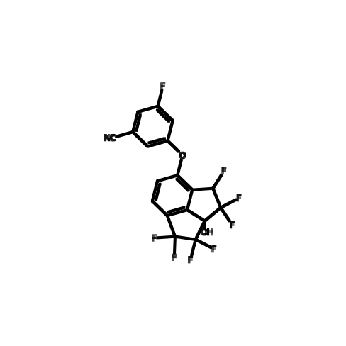 N#Cc1cc(F)cc(Oc2ccc3c4c2C(F)C(F)(F)C4(O)C(F)(F)C3(F)F)c1